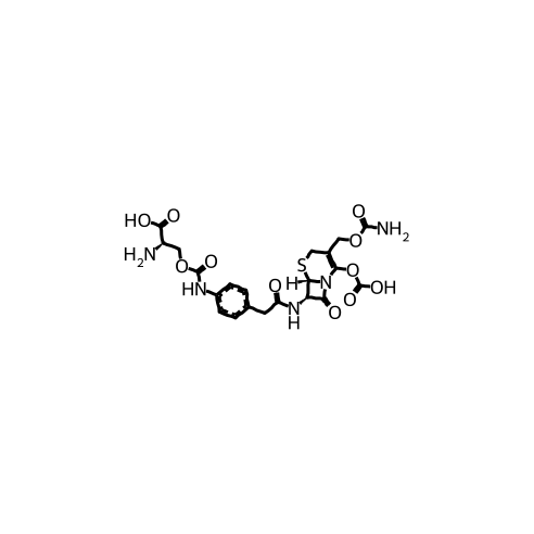 NC(=O)OCC1=C(OC(=O)O)N2C(=O)[C@@H](NC(=O)Cc3ccc(NC(=O)OC[C@@H](N)C(=O)O)cc3)[C@@H]2SC1